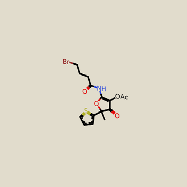 CC(=O)OC1=C(NC(=O)CCCBr)OC(C)(c2cccs2)C1=O